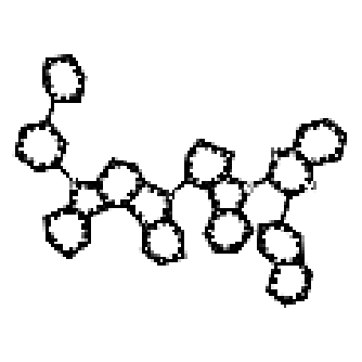 c1ccc(-c2cccc(-n3c4ccccc4c4c5c6ccccc6n(-c6cccc7c6c6ccccc6n7-c6nc7ccccc7nc6-c6ccc7ccccc7c6)c5ccc43)c2)cc1